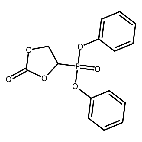 O=C1OCC(P(=O)(Oc2ccccc2)Oc2ccccc2)O1